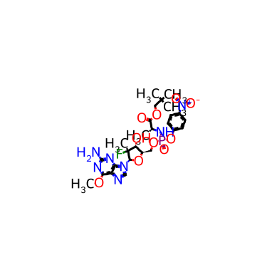 COc1nc(N)nc2c1ncn2[C@@H]1O[C@H](COP(=O)(N[C@@H](C)C(=O)OCC(C)(C)C)Oc2ccc([N+](=O)[O-])cc2)[C@@H](O)[C@@]1(C)F